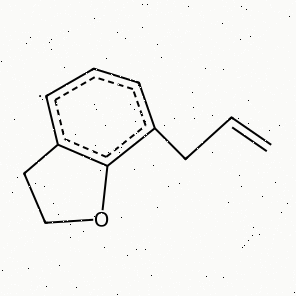 C=CCc1cc[c]c2c1OCC2